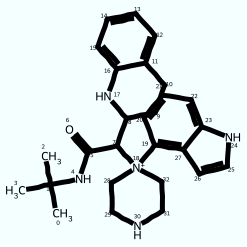 CC(C)(C)NC(=O)C(C1CCc2ccccc2N1)[N+]1(c2cccc3[nH]ccc23)CCNCC1